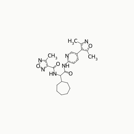 Cc1nonc1C(=O)NC(C(=O)Nc1ccc(-c2c(C)noc2C)cn1)C1CCCCCC1